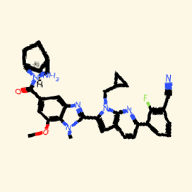 COc1cc(C(=O)N2CC3CCC2[C@@H]3N)cc2nc(-c3cc4ccc(-c5cccc(C#N)c5F)nc4n3CC3CC3)n(C)c12